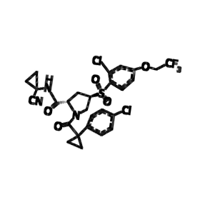 N#CC1(NC(=O)[C@@H]2C[C@@H](S(=O)(=O)c3ccc(OCC(F)(F)F)cc3Cl)CN2C(=O)C2(c3ccc(Cl)cc3)CC2)CC1